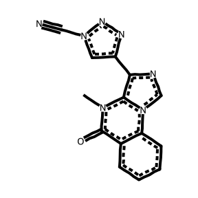 Cn1c(=O)c2ccccc2n2cnc(-c3cn(C#N)nn3)c12